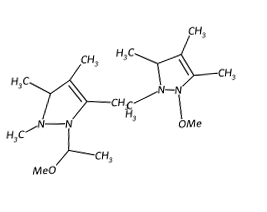 COC(C)N1C(C)=C(C)C(C)N1C.CON1C(C)=C(C)C(C)N1C